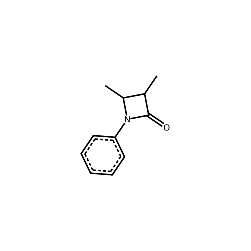 CC1C(=O)N(c2ccccc2)C1C